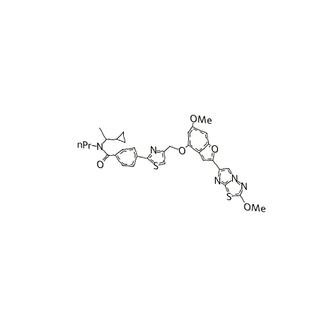 CCCN(C(=O)c1ccc(-c2nc(COc3cc(OC)cc4oc(-c5cn6nc(OC)sc6n5)cc34)cs2)cc1)C(C)C1CC1